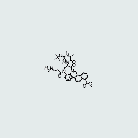 COC(=O)c1cccc2c(CN3C(=O)C(NC(=O)C(C)N(C)C(=O)OC(C)(C)C)CN(C(=O)CCN)c4ccccc43)c(OC)ccc12